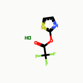 Cl.O=C(Oc1nccs1)C(F)(F)F